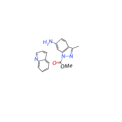 COC(=O)n1nc(C)c2ccc(N)cc21.c1ccc2ncccc2c1